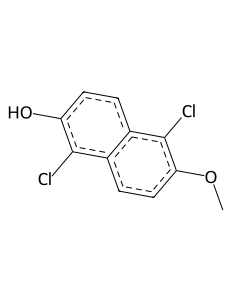 COc1ccc2c(Cl)c(O)ccc2c1Cl